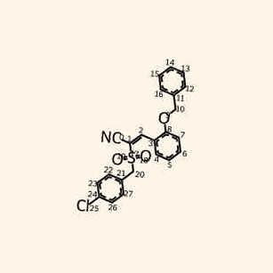 N#C/C(=C/c1ccccc1OCc1ccccc1)S(=O)(=O)Cc1ccc(Cl)cc1